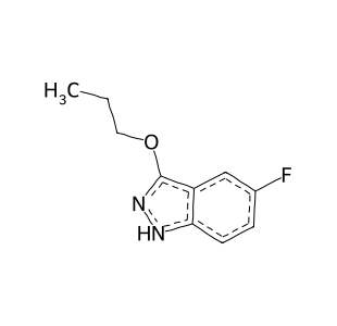 CCCOc1n[nH]c2ccc(F)cc12